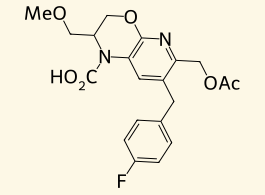 COCC1COc2nc(COC(C)=O)c(Cc3ccc(F)cc3)cc2N1C(=O)O